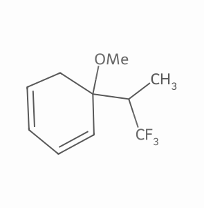 COC1(C(C)C(F)(F)F)C=CC=CC1